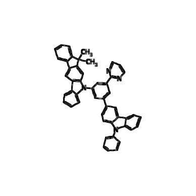 CC1(C)c2ccccc2-c2cc3c4ccccc4n(-c4cc(-c5ccc6c(c5)c5ccccc5n6-c5ccccc5)cc(-c5ncccn5)c4)c3cc21